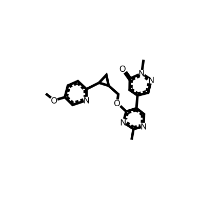 COc1ccc(C2CC2COc2nc(C)ncc2-c2cnn(C)c(=O)c2)nc1